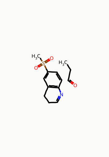 CCC=O.CS(=O)(=O)c1ccc2c(c1)CCC=N2